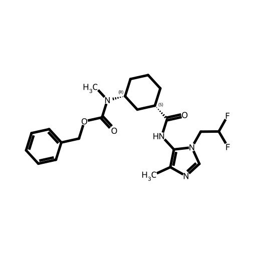 Cc1ncn(CC(F)F)c1NC(=O)[C@H]1CCC[C@@H](N(C)C(=O)OCc2ccccc2)C1